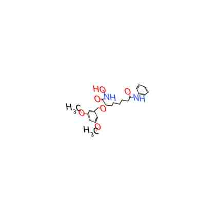 COc1cc(COC(CCCCCC(=O)Nc2ccccc2)C(=O)NO)cc(OC)c1